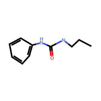 CCC[N]C(=O)Nc1ccccc1